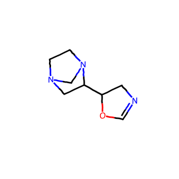 C1=NCC(C2CN3CCN2C3)O1